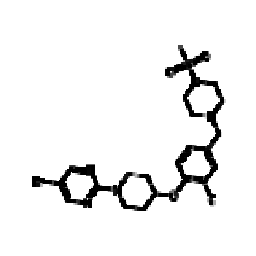 CS(=O)(=O)N1CCN(Cc2ccc(OC3CCN(c4ncc(Br)cn4)CC3)c(Cl)c2)CC1